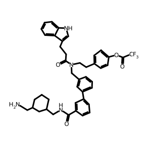 NCC1CCCC(CNC(=O)c2cccc(-c3cccc(CN(CCc4ccc(OC(=O)C(F)(F)F)cc4)C(=O)CCc4c[nH]c5ccccc45)c3)c2)C1